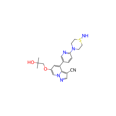 CC(C)(O)COc1cc(-c2ccc(N3CCS(=N)CC3)nc2)c2c(C#N)cnn2c1